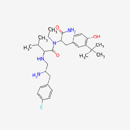 CCN(C(=O)C(NCC(N)Cc1ccc(F)cc1)C(C)C)C(Cc1ccc(O)c(C(C)(C)C)c1)C(N)=O